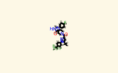 CC(C)(C)c1cc(C(=O)N2CCC3(CC2)C(=O)NCN3c2ccc(F)cc2)nn1-c1ccc(C(F)(F)F)c(F)c1